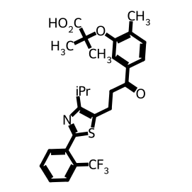 Cc1ccc(C(=O)CCc2sc(-c3ccccc3C(F)(F)F)nc2C(C)C)cc1OC(C)(C)C(=O)O